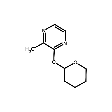 Cc1nccnc1OC1CCCCO1